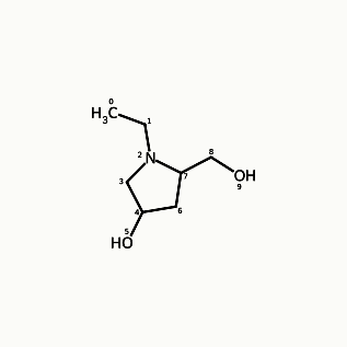 CCN1CC(O)CC1CO